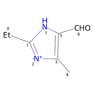 CCC1=[N+]C(C)=C(C=O)N1